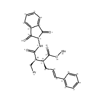 CC(C)C[C@@H](C(=O)NN1C(=O)c2ccccc2C1=O)[C@H](CC=Cc1ccccc1)C(=O)OC(C)(C)C